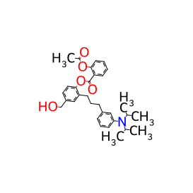 CC(=O)Oc1ccccc1C(=O)Oc1ccc(CO)cc1CCCc1cccc(N(C(C)C)C(C)C)c1